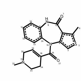 Cc1scc2c1C(=O)Nc1ccccc1N2C(=O)C1=CCN(C)CC1